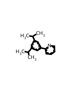 CC(C)c1[c]c(C(C)C)cc(-c2ccccn2)c1